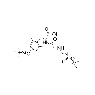 Cc1cc(O[Si](C)(C)C(C)(C)C)cc(C)c1CC(NC(=O)CNC=NC(=O)OC(C)(C)C)C(=O)O